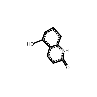 O=c1ccc2c(O)cccc2[nH]1